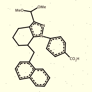 COC(OC)c1nn(-c2ccc(C(=O)O)cc2)c2c1CCCC2Cc1cccc2ccccc12